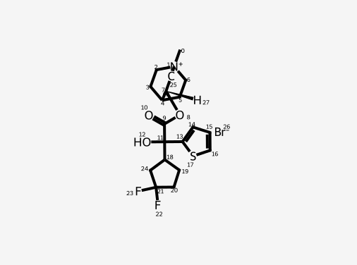 C[N+]12CCC(CC1)[C@@H](OC(=O)C(O)(c1cccs1)C1CCC(F)(F)C1)C2.[Br-]